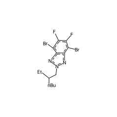 CCCCC(CC)Cn1nc2c(Br)c(F)c(F)c(Br)c2n1